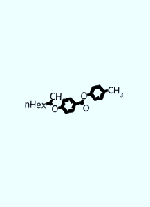 CCCCCCC(C)Oc1ccc(C(=O)Oc2ccc(C)cc2)cc1